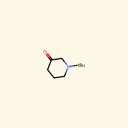 CC(C)(C)N1CCCC(=O)C1